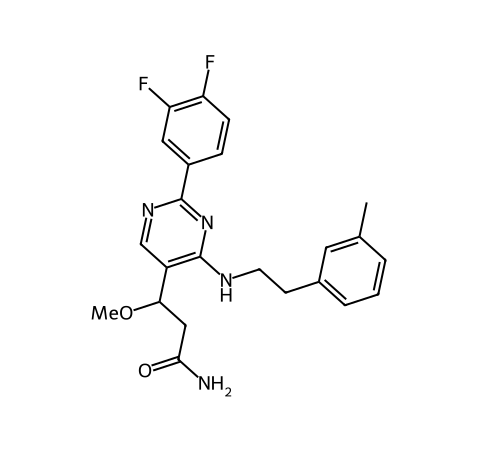 COC(CC(N)=O)c1cnc(-c2ccc(F)c(F)c2)nc1NCCc1cccc(C)c1